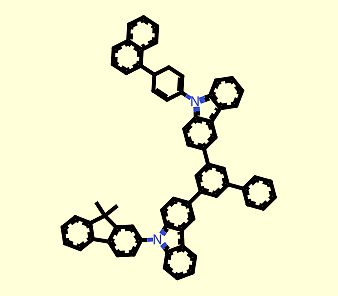 CC1(C)c2ccccc2-c2ccc(-n3c4ccccc4c4cc(-c5cc(-c6ccccc6)cc(-c6ccc7c(c6)c6ccccc6n7C6=CCC(c7cccc8ccccc78)C=C6)c5)ccc43)cc21